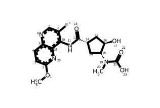 COc1ccc2ncc(F)c(NC(=O)[C@@H]3C[C@@H](O)[C@H](N(C)C(=O)O)C3)c2n1